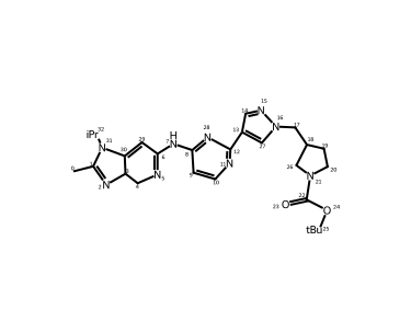 CC1=NC2CN=C(Nc3ccnc(-c4cnn(CC5CCN(C(=O)OC(C)(C)C)C5)c4)n3)C=C2N1C(C)C